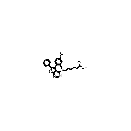 COc1ccc(-c2c(-c3ccccc3)oc3ncnc(NCCCCCC(=O)O)c23)c(C)c1